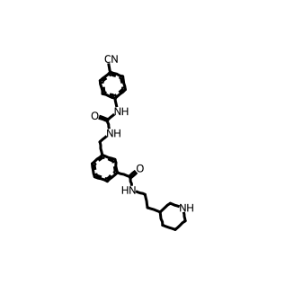 N#Cc1ccc(NC(=O)NCc2cccc(C(=O)NCCC3CCCNC3)c2)cc1